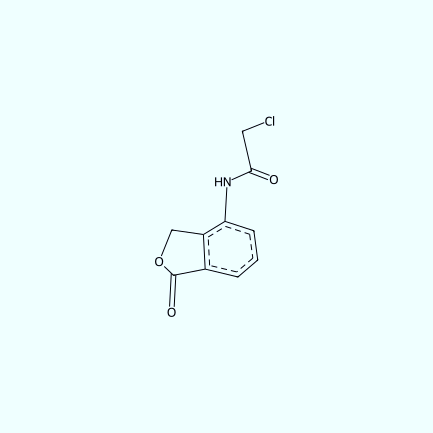 O=C(CCl)Nc1cccc2c1COC2=O